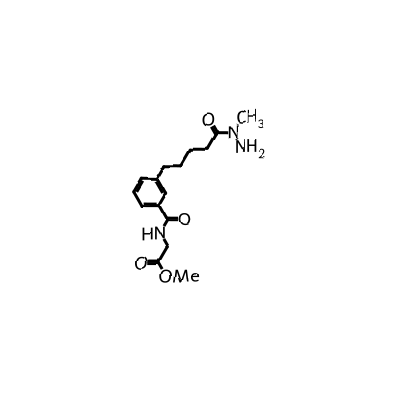 COC(=O)CNC(=O)c1cccc(CCCCC(=O)N(C)N)c1